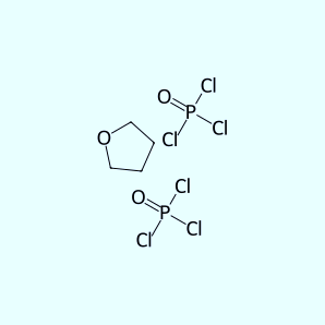 C1CCOC1.O=P(Cl)(Cl)Cl.O=P(Cl)(Cl)Cl